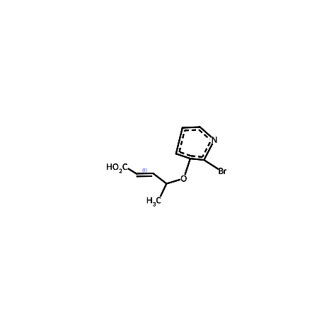 CC(/C=C/C(=O)O)Oc1cccnc1Br